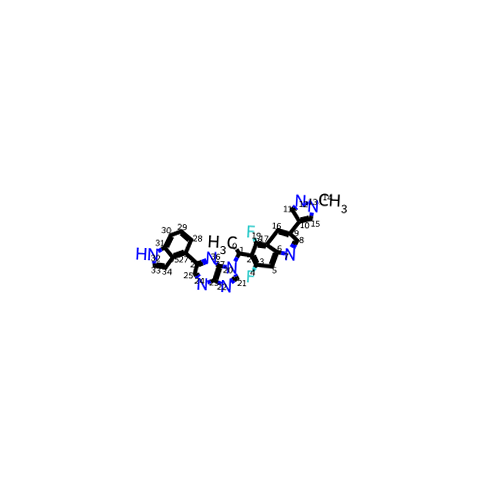 CC(c1c(F)cc2ncc(-c3cnn(C)c3)cc2c1F)n1cnc2ncc(-c3cccc4[nH]ccc34)nc21